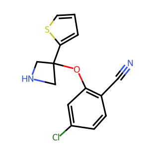 N#Cc1ccc(Cl)cc1OC1(c2cccs2)CNC1